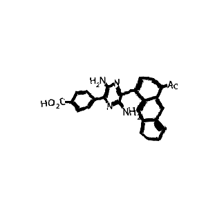 CC(=O)c1ccc(-c2nc(N)c(-c3ccc(C(=O)O)cc3)nc2N)c2cc3ccccc3cc12